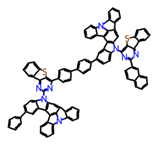 c1ccc(-c2ccc3c(c2)c2c4c5ccccc5n5c6ccccc6c(cc2n3-c2nc(-c3ccc(-c6ccc(-c7ccc8c(c7)c7c9c%10ccccc%10n%10c%11ccccc%11c(cc7n8-c7nc(-c8ccc%11ccccc%11c8)nc8c7sc7ccccc78)c9%10)cc6)cc3)c3sc6ccccc6c3n2)c45)cc1